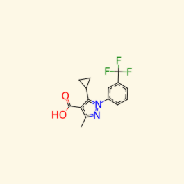 Cc1nn(-c2cccc(C(F)(F)F)c2)c(C2CC2)c1C(=O)O